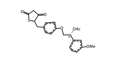 COc1cccc([C@H](COc2ccc(CC3SC(=O)CC3=O)cc2)OC(C)=O)c1